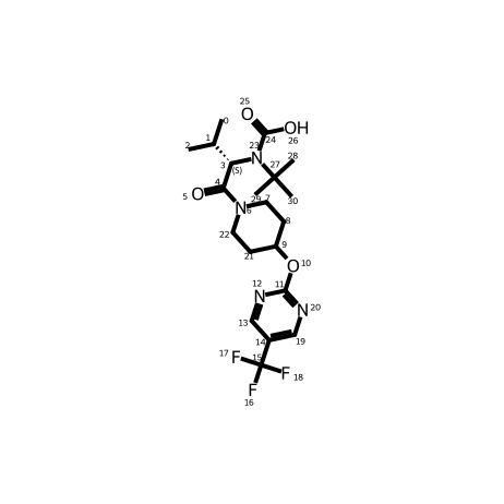 CC(C)[C@@H](C(=O)N1CCC(Oc2ncc(C(F)(F)F)cn2)CC1)N(C(=O)O)C(C)(C)C